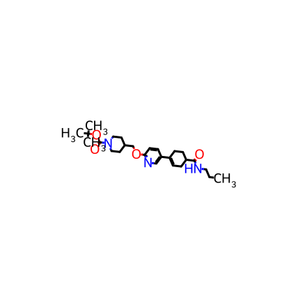 CCCNC(=O)C1CC=C(c2ccc(OCC3CCN(C(=O)OC(C)(C)C)CC3)nc2)CC1